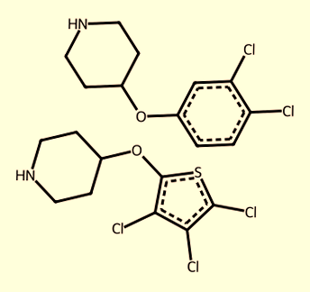 Clc1ccc(OC2CCNCC2)cc1Cl.Clc1sc(OC2CCNCC2)c(Cl)c1Cl